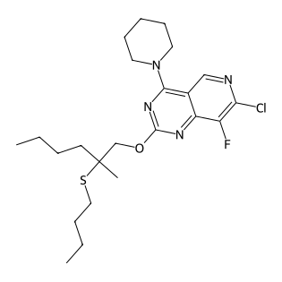 CCCCSC(C)(CCCC)COc1nc(N2CCCCC2)c2cnc(Cl)c(F)c2n1